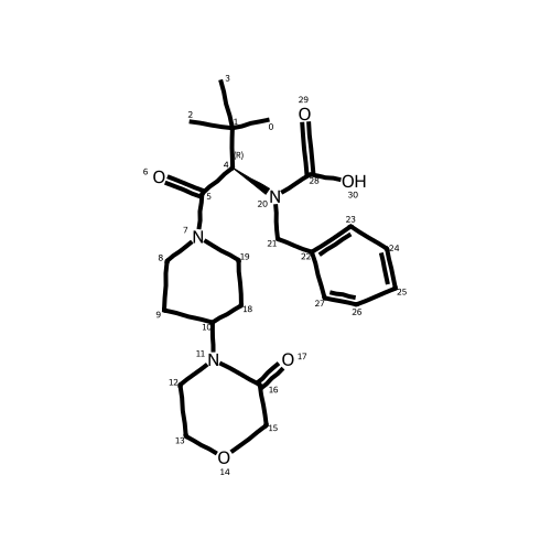 CC(C)(C)[C@H](C(=O)N1CCC(N2CCOCC2=O)CC1)N(Cc1ccccc1)C(=O)O